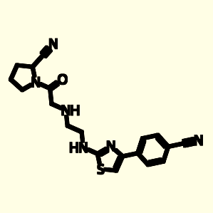 N#Cc1ccc(-c2csc(NCCNCC(=O)N3CCCC3C#N)n2)cc1